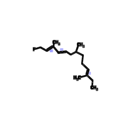 CC/C(C)=C/CCC(C)C/C=C/C(C)=C/CF